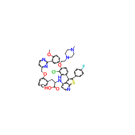 COc1ccccc1-c1nccc(COc2ccccc2CC(Nc2ccnc3sc(-c4ccc(F)cc4)c(-c4ccc(OCCN5CCN(C)CC5)c(Cl)c4C)c23)C(=O)O)n1